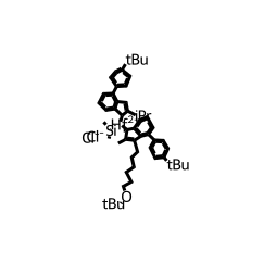 CC1=C(CCCCCCOC(C)(C)C)c2c(-c3ccc(C(C)(C)C)cc3)cccc2[CH]1[Hf+2]([CH]1C(C(C)C)=Cc2c(-c3ccc(C(C)(C)C)cc3)cccc21)=[Si](C)C.[Cl-].[Cl-]